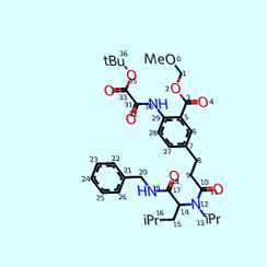 COCOC(=O)c1cc(CCC(=O)N(C(C)C)C(CC(C)C)C(=O)NCc2ccccc2)ccc1NC(=O)C(=O)OC(C)(C)C